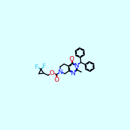 Cc1nc2c(c(=O)n1C(c1ccccc1)c1ccccc1)CCN(C(=O)OCC1CC1(F)F)C2